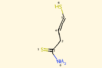 NC(=S)CC=CS